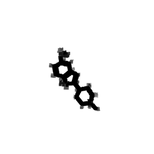 CN1CCC(c2cc3cc(C(C)(C)C)ccc3[nH]2)CC1